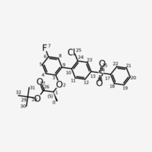 C[C@H](Oc1ccc(F)cc1-c1ccc(S(=O)(=O)c2ccccc2)cc1Cl)C(=O)OC(C)(C)C